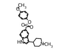 COc1ccc(OS(=O)(=O)c2ccc3[nH]cc(C4CCN(C)CC4)c3c2)cc1